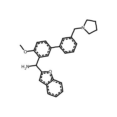 COc1ccc(-c2cccc(CN3CCCC3)c2)cc1C(N)c1cc2ccccc2o1